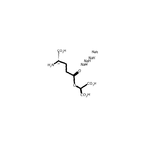 N[C@@H](CCC(=O)OC(C(=O)O)C(=O)O)C(=O)O.[NaH].[NaH].[NaH].[NaH]